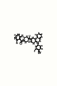 Cc1cc(N(Cc2ccccc2)C2CCN(C3(C)CCN(C(=O)c4c(C)ncnc4C)CC3)CC2)ccc1Br